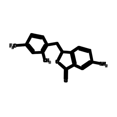 Cc1cc(C(F)(F)F)ccc1CC1OC(=O)c2cc(N)ccc21